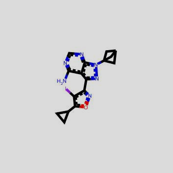 Nc1ncnc2c1c(-c1noc(C3CC3)c1I)nn2C12CC(C1)C2